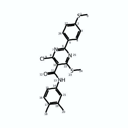 CSc1ccc(-c2nc(Cl)c(C(=O)Nc3ccc(C)c(C)c3)c(SC)n2)cc1